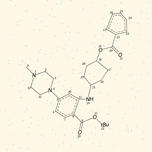 CN1CCN(c2ccc(C(=O)OC(C)(C)C)c(NC3CCC(OC(=O)c4ccccc4)CC3)c2)CC1